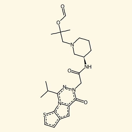 CC(C)c1nn(CC(=O)N[C@@H]2CCCN(CC(C)(C)OC=O)C2)c(=O)c2cc3ccsc3n12